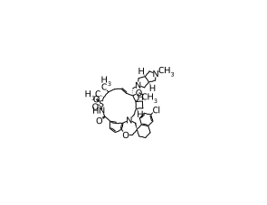 CO[C@]1(CN2C[C@H]3CN(C)C[C@H]3C2)/C=C/C[C@H](C)[C@@H](C)S(=O)(=O)NC(=O)c2ccc3c(c2)N(C[C@@H]2CC[C@H]21)C[C@@]1(CCCc2cc(Cl)ccc21)CO3